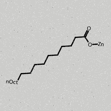 CCCCCCCCCCCCCCCCCC(=O)[O][Zn]